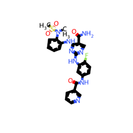 CN(c1ccccc1Nc1nc(Nc2cc(NC(=O)c3cccnc3)ccc2F)ncc1C(N)=O)S(C)(=O)=O